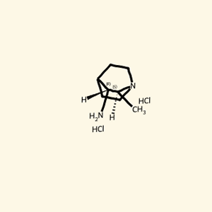 C[C@H]1[C@H](N)C2CCN1CC2.Cl.Cl